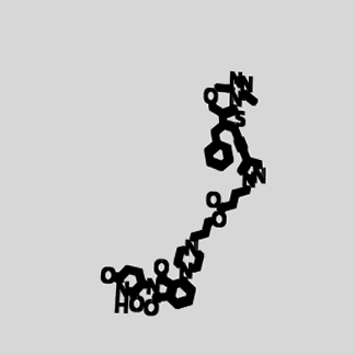 Cc1nnc2n1-c1sc(C#Cc3cnn(CCCC(=O)OCCCN4CCN(c5cccc6c5C(=O)N(C5CCC(=O)NC5=O)C6=O)CC4)c3)c(Cc3ccccc3)c1COC2